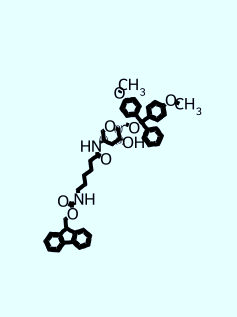 COc1ccc(C(OC[C@H]2OC[C@H](NC(=O)CCCCCNC(=O)OCC3c4ccccc4-c4ccccc43)C[C@@H]2O)(c2ccccc2)c2ccc(OC)cc2)cc1